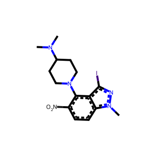 CN(C)C1CCN(c2c([N+](=O)[O-])ccc3c2c(I)nn3C)CC1